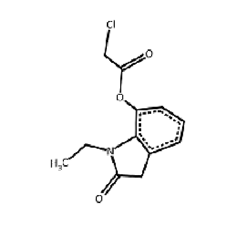 CCN1C(=O)Cc2cccc(OC(=O)CCl)c21